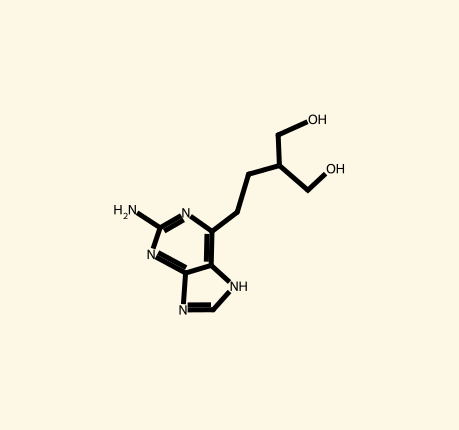 Nc1nc(CCC(CO)CO)c2[nH]cnc2n1